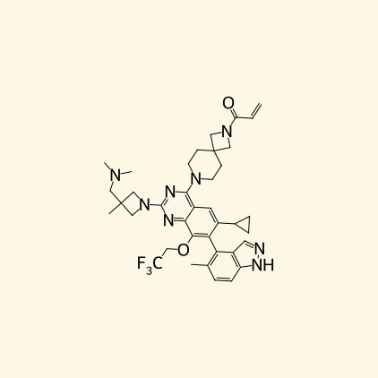 C=CC(=O)N1CC2(CCN(c3nc(N4CC(C)(CN(C)C)C4)nc4c(OCC(F)(F)F)c(-c5c(C)ccc6[nH]ncc56)c(C5CC5)cc34)CC2)C1